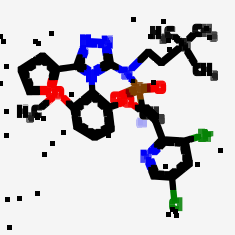 COc1cccc(OC)c1-n1c(-c2ccco2)nnc1N(CC[Si](C)(C)C)S(=O)(=O)/C=C/c1ncc(Cl)cc1Br